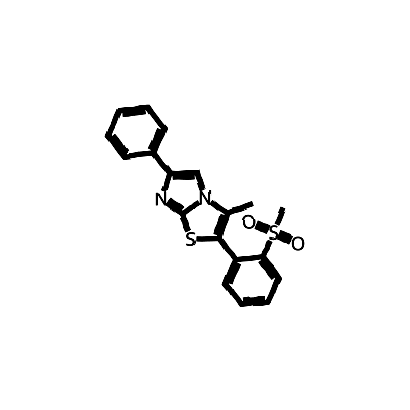 Cc1c(-c2ccccc2S(C)(=O)=O)sc2nc(-c3ccccc3)cn12